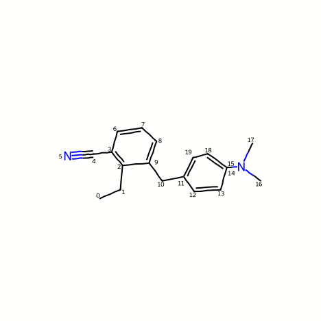 CCc1c(C#N)cccc1Cc1ccc(N(C)C)cc1